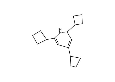 [C]1=C(C2CCC2)C=C(C2CCC2)NC1C1CCC1